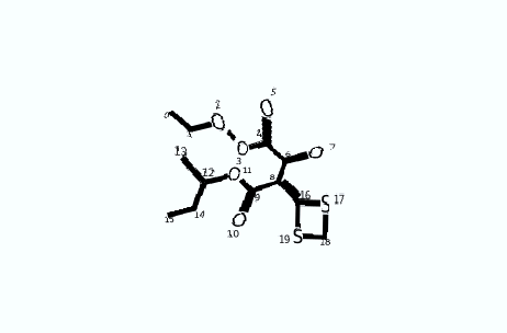 CCOOC(=O)C(=O)C(C(=O)OC(C)CC)=C1SCS1